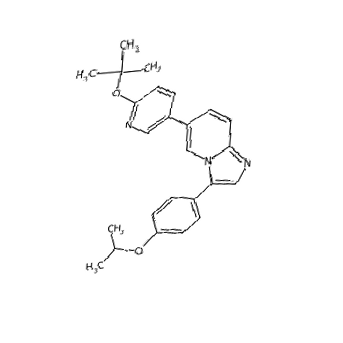 CC(C)Oc1ccc(-c2cnc3ccc(-c4ccc(OC(C)(C)C)nc4)cn23)cc1